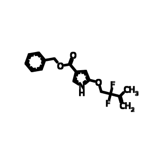 C=C(C)C(F)(F)COc1cc(C(=O)OCc2ccccc2)c[nH]1